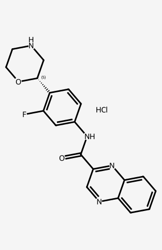 Cl.O=C(Nc1ccc([C@H]2CNCCO2)c(F)c1)c1cnc2ccccc2n1